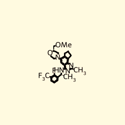 COC[C@H]1CN(c2cc3c(N[C@H](C)c4cccc(C(F)(F)F)c4F)nc(C)nc3c3c2CCC3)CCO1